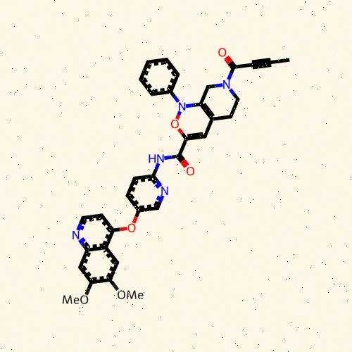 CC#CC(=O)N1CCC2=C(C1)N(c1ccccc1)OC(C(=O)Nc1ccc(Oc3ccnc4cc(OC)c(OC)cc34)cn1)=C2